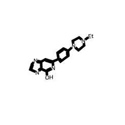 CCN1CCN(c2ccc(-c3cc4nccnc4c(O)n3)cc2)CC1